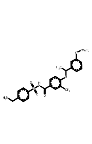 CCCCCOc1cccc(C(C)Oc2ccc(C(=O)NS(=O)(=O)c3ccc(CN)cc3)cc2C(F)(F)F)c1